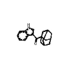 O=C(c1c[nH]c2ccccc12)C12CC3CC(CC(C3)C1)C2